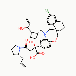 C=CC[C@@H]1CCCN1C(=O)C[C@@](O)(C(=O)O)c1ccc2c(c1)N(C[C@@H]1CC[C@H]1[C@@H](O)C=C)C[C@@]1(CCCc3cc(Cl)ccc31)CO2